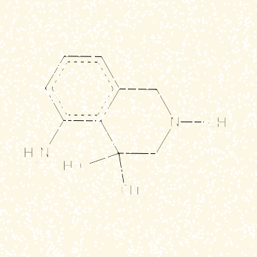 CN1Cc2cccc(N)c2C(C)(C)C1